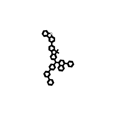 CC1(C)c2cc(-c3ccc4oc5ccccc5c4c3)ccc2-c2ccc(C(c3ccc(-c4cccc(-c5ccccc5)c4)cc3)c3ccc(-c4ccccc4)c4ccccc34)cc21